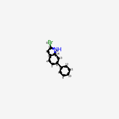 Brc1cc2ccc(-c3ccccc3)cc2[nH]1